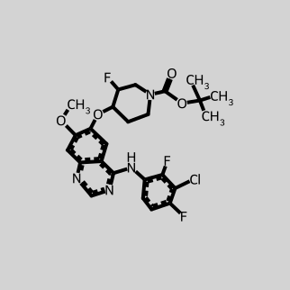 COc1cc2ncnc(Nc3ccc(F)c(Cl)c3F)c2cc1OC1CCN(C(=O)OC(C)(C)C)CC1F